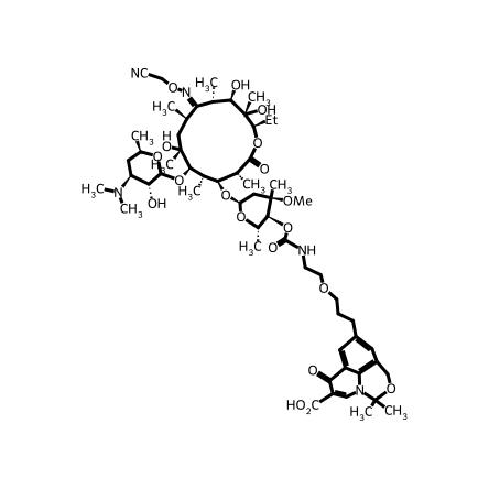 CC[C@H]1OC(=O)[C@H](C)[C@@H](O[C@H]2C[C@@](C)(OC)[C@@H](OC(=O)NCCOCCCc3cc4c5c(c3)c(=O)c(C(=O)O)cn5C(C)(C)OC4)[C@H](C)O2)[C@H](C)[C@@H](OC2O[C@H](C)C[C@H](N(C)C)[C@H]2O)[C@](C)(O)C[C@@H](C)/C(=N\OCC#N)[C@H](C)[C@@H](O)[C@]1(C)O